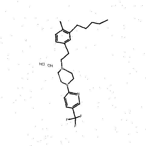 CCCCCc1cc(CCN2CCN(c3ccc(C(F)(F)F)cn3)CC2)ccc1C.Cl.Cl